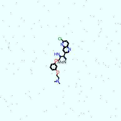 CN/C=C(\C(=N)COc1cccc(OCCN(C)C)c1)c1cnc2ccc(Cl)nc2c1